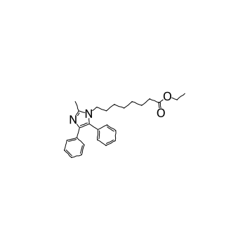 CCOC(=O)CCCCCCCn1c(C)nc(-c2ccccc2)c1-c1ccccc1